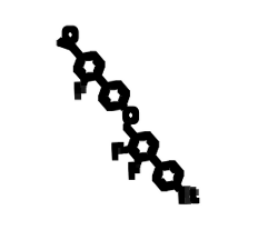 CCc1ccc(-c2ccc(COc3ccc(-c4ccc(C5CO5)cc4F)cc3)c(F)c2F)cc1